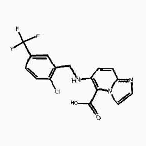 O=C(O)c1c(NCc2cc(C(F)(F)F)ccc2Cl)ccc2nccn12